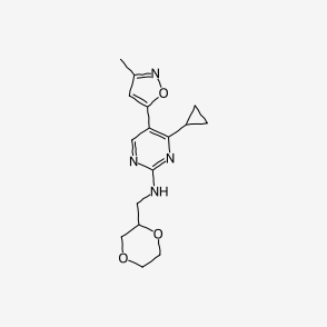 Cc1cc(-c2cnc(NCC3COCCO3)nc2C2CC2)on1